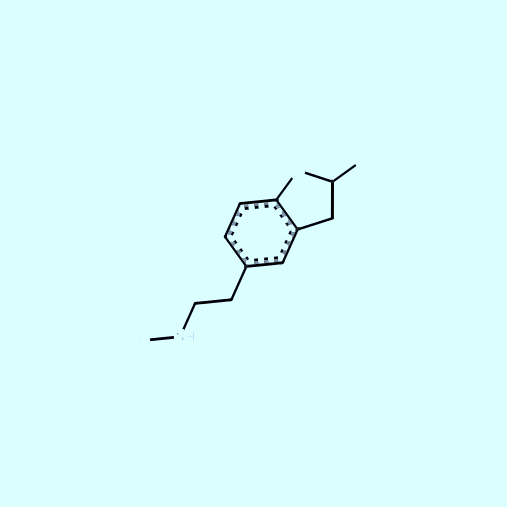 CCOC(=O)NCCc1ccc2c(c1)CC(C(=O)OCC)O2